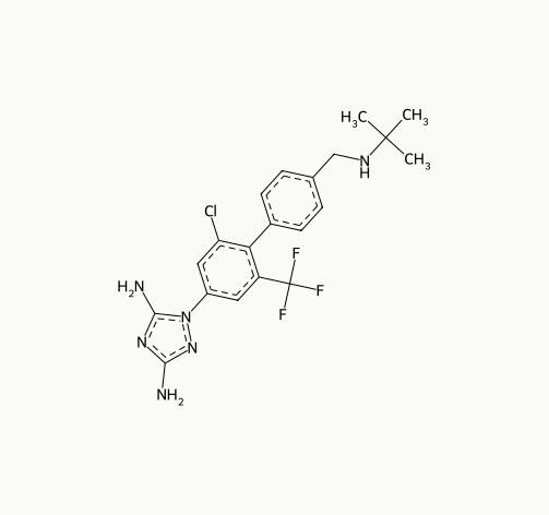 CC(C)(C)NCc1ccc(-c2c(Cl)cc(-n3nc(N)nc3N)cc2C(F)(F)F)cc1